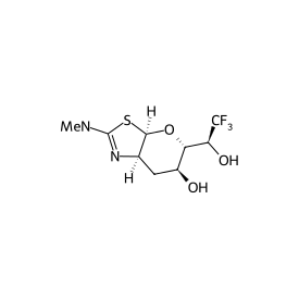 CNC1=N[C@@H]2C[C@H](O)[C@@H]([C@H](O)C(F)(F)F)O[C@@H]2S1